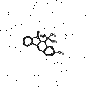 Cc1ccc2c(c1)C([Si](C)(C)C)C1C(=O)c3ccccc3C1=C2